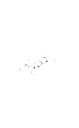 COC(=O)CCC(=O)N1Cc2cc(O)c(OC)cc2C1